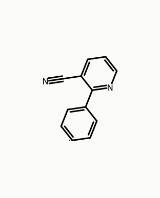 N#Cc1cccnc1-c1cc[c]cc1